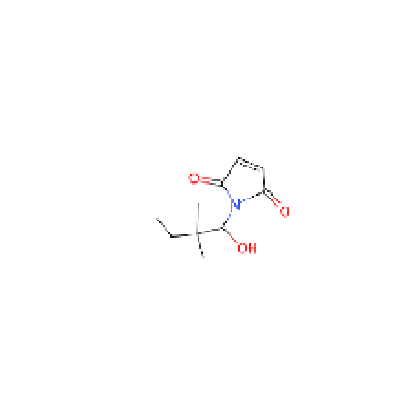 CCC(C)(C)C(O)N1C(=O)C=CC1=O